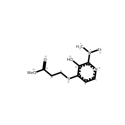 CCN(C)c1nccc(SCCC(=O)OC)c1O